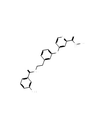 CNC(=O)c1cc(Oc2cccc(CCNC(=O)c3cccc(C)c3)c2)ccn1